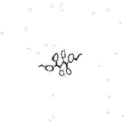 CCOC(=O)C(Cl)C(Cl)C(=O)OCC